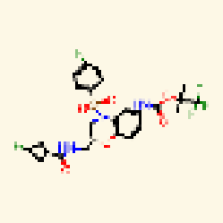 CC(C)(OC(=O)Nc1ccc2c(c1)N(S(=O)(=O)c1ccc(F)cc1)C[C@H](CNC(=O)C1CC(F)C1)O2)C(F)(F)F